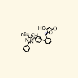 CCCCC1=NC(c2ccccc2)=N[N+]1(C)c1ccc(-c2ccccc2/C=C2\OC(=O)C=C2O)cc1